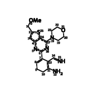 COCc1cc2nc(C3=CCCC(N)=C3C=N)nc(N3CCOCC3)c2s1